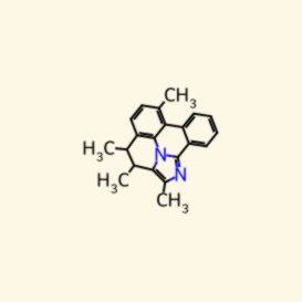 Cc1nc2c3ccccc3c3c(C)ccc4c3n2c1C(C)C4C